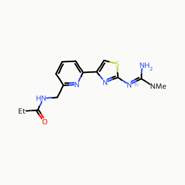 CCC(=O)NCc1cccc(-c2csc(/N=C(\N)NC)n2)n1